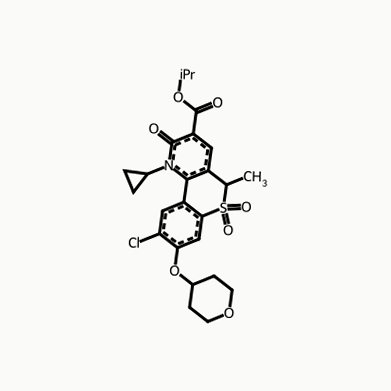 CC(C)OC(=O)c1cc2c(n(C3CC3)c1=O)-c1cc(Cl)c(OC3CCOCC3)cc1S(=O)(=O)C2C